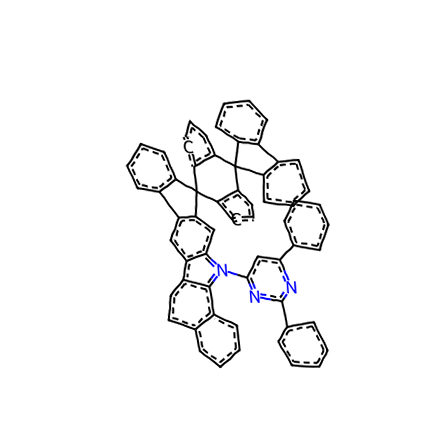 c1ccc(-c2cc(-n3c4cc5c(cc4c4ccc6ccccc6c43)-c3ccccc3C53c4ccccc4C4(c5ccccc5-c5ccccc54)c4ccccc43)nc(-c3ccccc3)n2)cc1